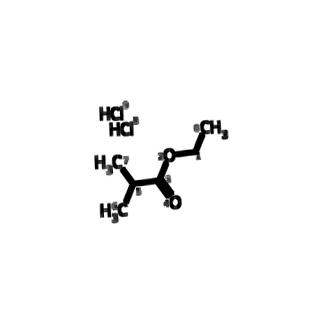 CCOC(=O)C(C)C.Cl.Cl